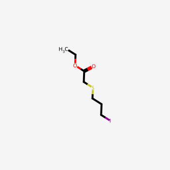 CCOC(=O)CSCCCI